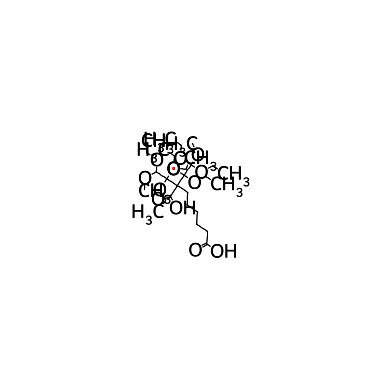 CCOC(OC)C(OCC)(OCC)C(CCCCCC(=O)O)(C(=O)O)C(OCC)(OCC)C(OC)(OCC)OCC